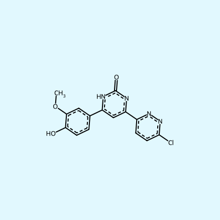 COc1cc(-c2cc(-c3ccc(Cl)nn3)nc(=O)[nH]2)ccc1O